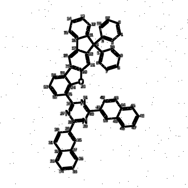 c1ccc(C2(c3ccccc3)c3ccccc3-c3cc4c(cc32)oc2c(-c3nc(-c5ccc6ccccc6c5)nc(-c5ccc6ccccc6c5)n3)cccc24)cc1